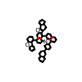 c1ccc(-c2ccc(-c3ccc4ccccc4c3)cc2N(c2ccc(-c3cccc4oc5ccccc5c34)cc2)c2ccccc2-c2cccc3oc4c5ccccc5ccc4c23)cc1